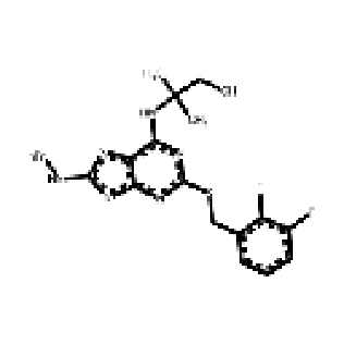 CCCNc1nc2nc(SCc3cccc(F)c3F)nc(NC(C)(C)CO)c2s1